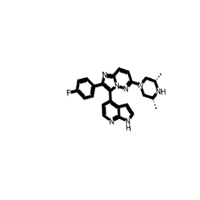 C[C@@H]1CN(c2ccc3nc(-c4ccc(F)cc4)c(-c4ccnc5[nH]ccc45)n3n2)C[C@H](C)N1